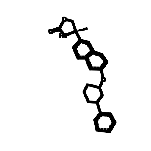 C[C@@]1(c2ccc3cc(OC4CCCC(c5ccccc5)C4)ccc3c2)COC(=O)N1